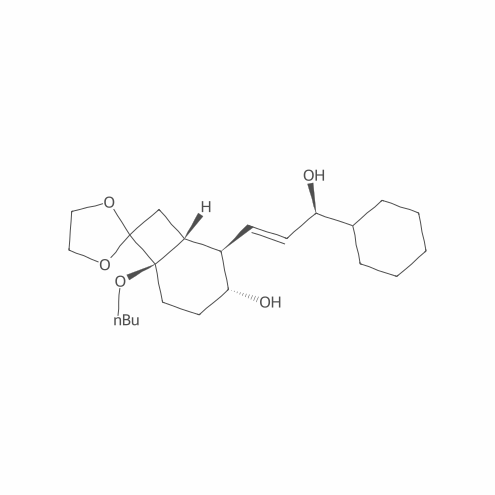 CCCCO[C@]12CC[C@@H](O)[C@H](/C=C/[C@@H](O)C3CCCCC3)[C@H]1CC21OCCO1